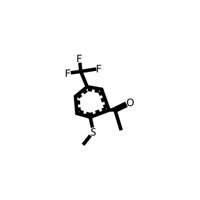 CSc1ccc(C(F)(F)F)cc1C(C)=O